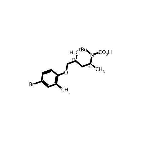 Cc1cc(Br)ccc1OC[C@@H](C)C[C@H](C)N(C(=O)O)C(C)(C)C